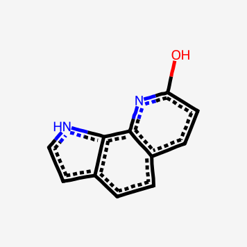 Oc1ccc2ccc3cc[nH]c3c2n1